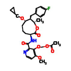 COc1ccnc(C(=O)N[C@H]2CCC[C@H](OCC3CC3)[C@@H](Cc3ccc(F)cc3)[C@H](C)OC2=O)c1OCOC(C)=O